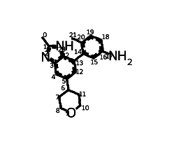 Cc1nc2cc(C3CCOCC3)cc(-c3cc(N)ccc3C)c2[nH]1